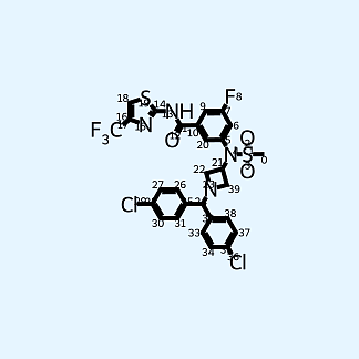 CS(=O)(=O)N(c1cc(F)cc(C(=O)Nc2nc(C(F)(F)F)cs2)c1)C1CN(C(c2ccc(Cl)cc2)c2ccc(Cl)cc2)C1